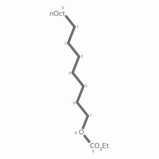 CCCCCCCCCCCCCCCOC(=O)OCC